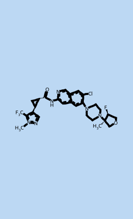 Cn1ncc([C@H]2C[C@@H]2C(=O)Nc2cc3cc(N4CCN([C@]5(C)COC[C@@H]5F)CC4)c(Cl)cc3cn2)c1C(F)(F)F